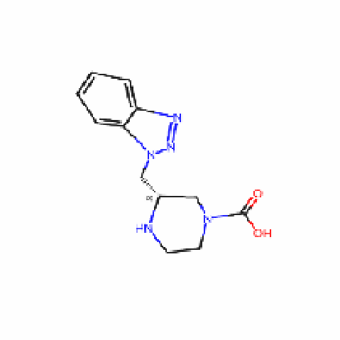 O=C(O)N1CCN[C@H](Cn2nnc3ccccc32)C1